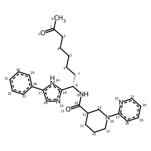 CC(=O)CCCCC[C@H](NC(=O)C1CCCN(c2ccccn2)C1)c1ncc(-c2ccccc2)[nH]1